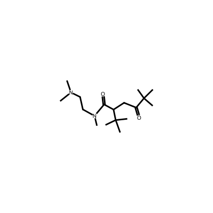 CN(C)CCN(C)C(=O)C(CC(=O)C(C)(C)C)C(C)(C)C